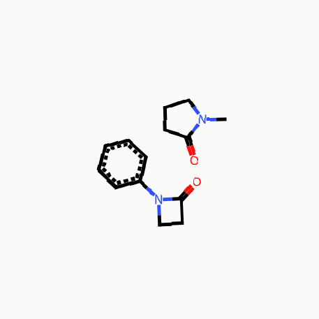 CN1CCCC1=O.O=C1CCN1c1ccccc1